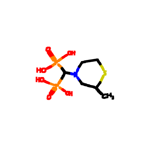 CC1CN(C(P(=O)(O)O)P(=O)(O)O)CCS1